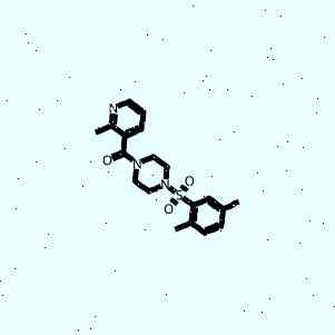 Cc1ccc(C)c(S(=O)(=O)N2CCN(C(=O)c3cccnc3C)CC2)c1